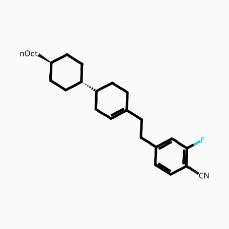 CCCCCCCC[C@H]1CC[C@H](C2CC=C(CCc3ccc(C#N)c(F)c3)CC2)CC1